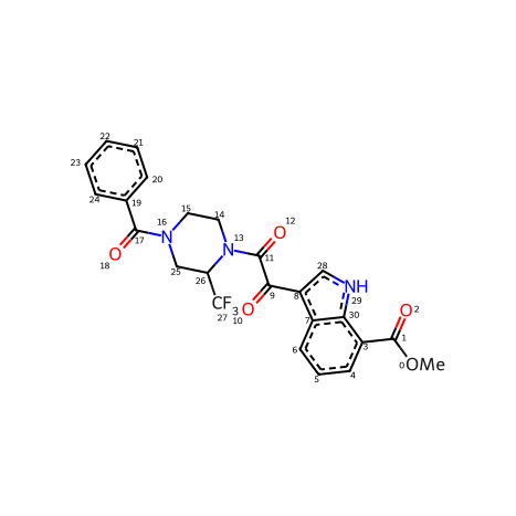 COC(=O)c1cccc2c(C(=O)C(=O)N3CCN(C(=O)c4ccccc4)CC3C(F)(F)F)c[nH]c12